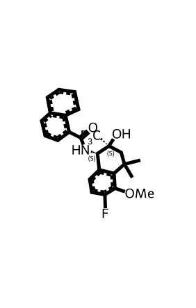 COc1c(F)ccc2c1C(C)(C)C[C@@](O)(C(F)(F)F)[C@H]2NC(=O)c1cccc2ccccc12